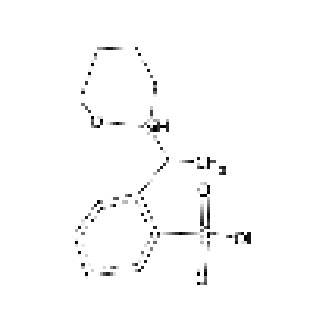 CC(c1ccccc1S(=O)(=O)O)[SiH]1CCCCO1